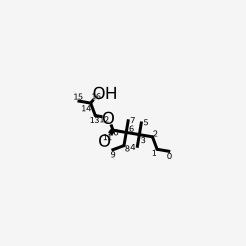 CCCC(C)(C)C(C)(CC)C(=O)OCC(C)O